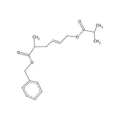 CC(C)C(=O)OC/C=C/CC(C)C(=O)OCc1ccccc1